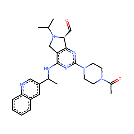 CC(=O)N1CCN(c2nc(NC(C)c3cnc4ccccc4c3)c3c(n2)[C@H](C=O)N(C(C)C)C3)CC1